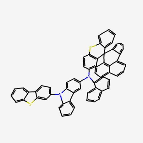 c1ccc2c(c1)Sc1ccc(N(c3ccc4c(c3)c3ccccc3n4-c3ccc4c(c3)sc3ccccc34)c3cccc4ccccc34)cc1C21c2ccccc2-c2cccc3cccc1c23